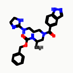 O=C(NC(CN(CCCNC1=NCCN1)C(=O)c1ccc2[nH]ncc2c1)C(=O)O)OCc1ccccc1